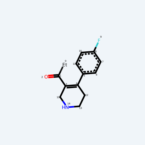 CCC(=O)C1=C(c2ccc(F)cc2)CCNC1